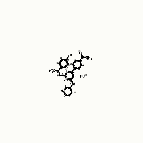 CC(Nc1nc(Nc2cnccn2)cc(-c2ccc(C(N)=O)cc2)n1)c1ccc(F)cc1.Cl